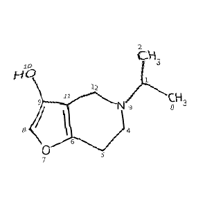 CC(C)N1CCc2occ(O)c2C1